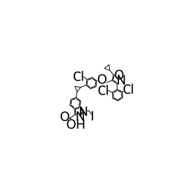 O=C(O)c1nn(CI)c2cc(C3CC3c3ccc(OCc4c(-c5c(Cl)cccc5Cl)noc4C4CC4)cc3Cl)ccc12